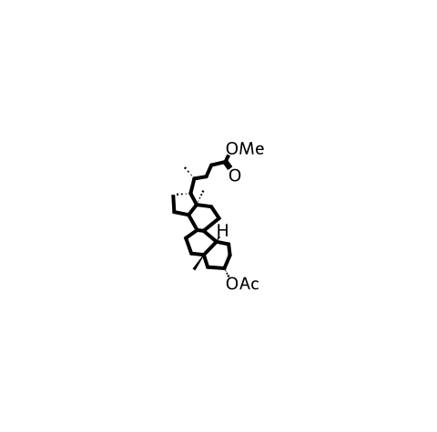 COC(=O)CC[C@@H](C)[C@H]1CCC2C3CC[C@@]4(C)C[C@@H](OC(C)=O)CC[C@@H]4C3CC[C@@]21C